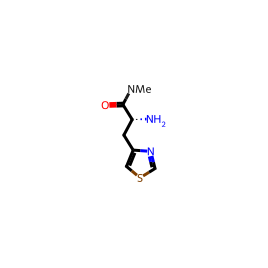 CNC(=O)[C@H](N)Cc1cscn1